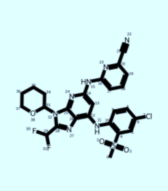 CS(=O)(=O)c1cc(Cl)ccc1Nc1cc(Nc2cccc(C#N)n2)nc2c1nc(C(F)F)n2C1CCCCO1